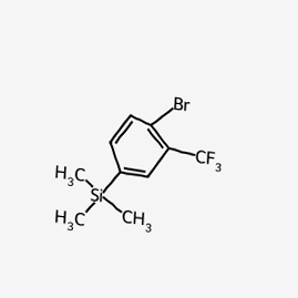 C[Si](C)(C)c1ccc(Br)c(C(F)(F)F)c1